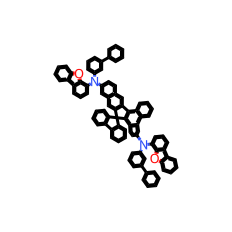 c1ccc(-c2cccc(N(c3ccc4cc5c(cc4c3)C3(c4ccccc4-c4ccccc43)c3c-5c4ccccc4c4cc(N(c5cccc(-c6ccccc6)c5)c5cccc6c5oc5ccccc56)ccc34)c3cccc4c3oc3ccccc34)c2)cc1